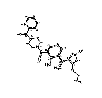 CCOc1n[s+]([O-])nc1N(C)c1cccc(C(=O)N2CCN(C(=O)c3ccccn3)CC2)c1O